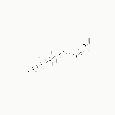 C=CC(=O)NC(C)(C)C(=O)OCCC(F)(F)C(F)(F)C(F)(F)C(F)(F)C(F)(F)C(F)(F)C(F)(F)C(F)(F)F